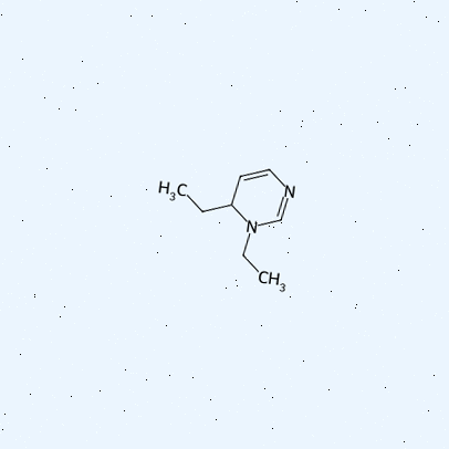 CCC1C=CN=CN1CC